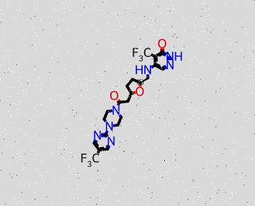 O=C(CC1CC[C@@H](CNc2cn[nH]c(=O)c2C(F)(F)F)O1)N1CCN(c2ncc(C(F)(F)F)cn2)CC1